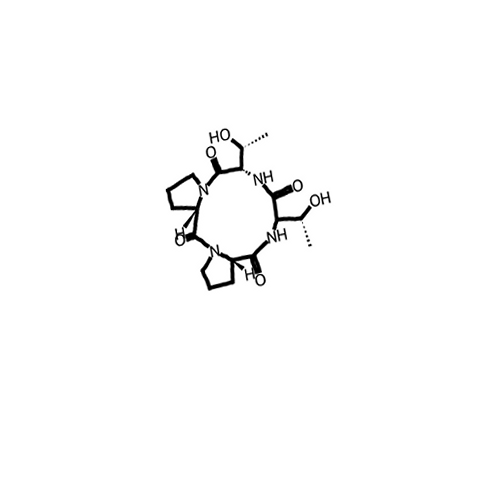 C[C@@H](O)C1NC(=O)[C@@H]2CCCN2C(=O)[C@@H]2CCCN2C(=O)[C@H]([C@@H](C)O)NC1=O